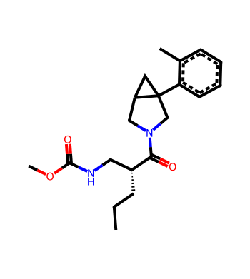 CCC[C@H](CNC(=O)OC)C(=O)N1CC2CC2(c2ccccc2C)C1